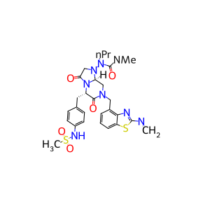 C=Nc1nc2c(CN3C[C@H]4N(C(=O)CN4N(CCC)C(=O)NC)[C@@H](Cc4ccc(NS(C)(=O)=O)cc4)C3=O)cccc2s1